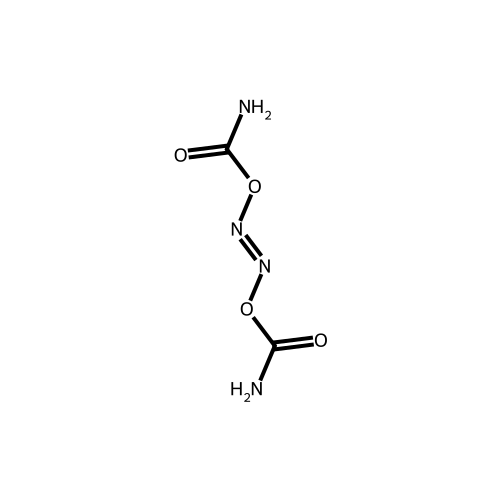 NC(=O)ON=NOC(N)=O